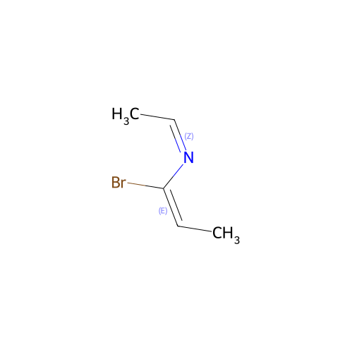 C/C=N\C(Br)=C/C